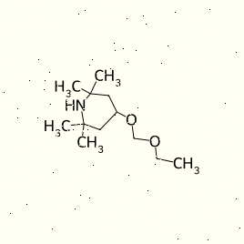 CCOCOC1CC(C)(C)NC(C)(C)C1